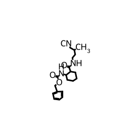 CC(CC#N)CCNC(=O)C1CCCCC1NC(=O)OCc1ccccc1